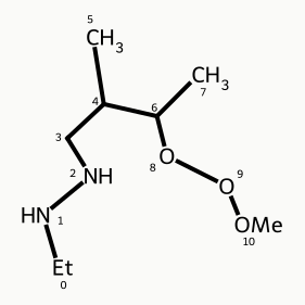 CCNNCC(C)C(C)OOOC